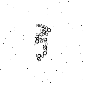 CN[C@@H](C)C(=O)N[C@H](C(=O)N1CCN(C(=O)c2c(C)c3cc(F)ccc3n2CC(=O)N2CCC[C@H]2COc2cc(CN3CCC(Oc4ccnc5ccsc45)CC3)on2)CC1)C1CCCCC1